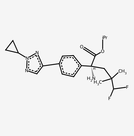 CC(C)OC(=O)[C@@](N)(CC(C)(C)C(F)F)c1ccc(-c2cnn(C3CC3)n2)cc1